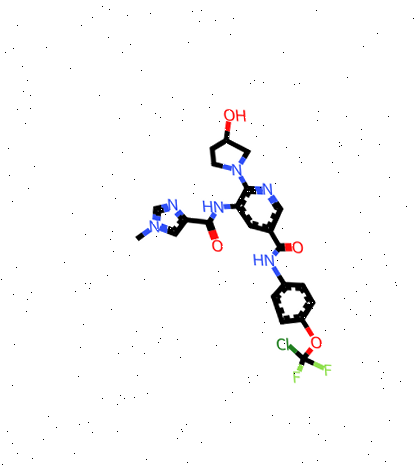 Cn1cnc(C(=O)Nc2cc(C(=O)Nc3ccc(OC(F)(F)Cl)cc3)cnc2N2CCC(O)C2)c1